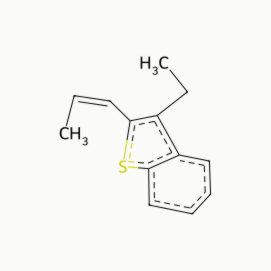 C/C=C\c1sc2ccccc2c1CC